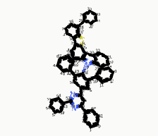 c1ccc(-c2cc(-c3cc(-c4ccccc4)c(-n4c5ccccc5c5c6sc7c(-c8ccccc8)cccc7c6ccc54)c(-c4ccccc4)c3)nc(-c3ccccc3)n2)cc1